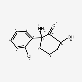 N[C@]1(c2ccccc2Cl)CCCC(O)C1=O